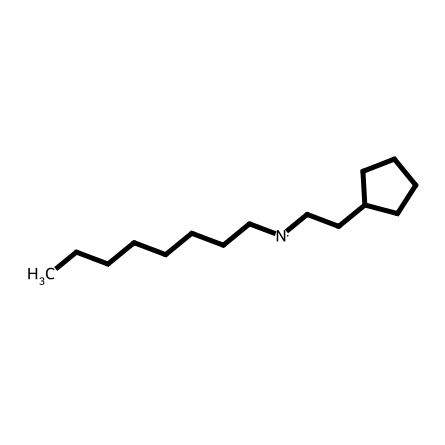 CCCCCCCC[N]CCC1CCCC1